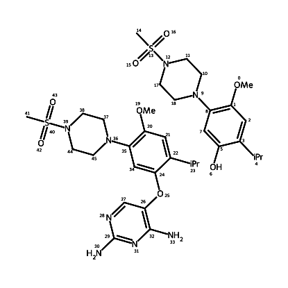 COc1cc(C(C)C)c(O)cc1N1CCN(S(C)(=O)=O)CC1.COc1cc(C(C)C)c(Oc2cnc(N)nc2N)cc1N1CCN(S(C)(=O)=O)CC1